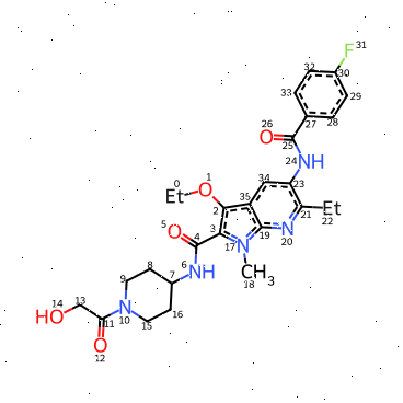 CCOc1c(C(=O)NC2CCN(C(=O)CO)CC2)n(C)c2nc(CC)c(NC(=O)c3ccc(F)cc3)cc12